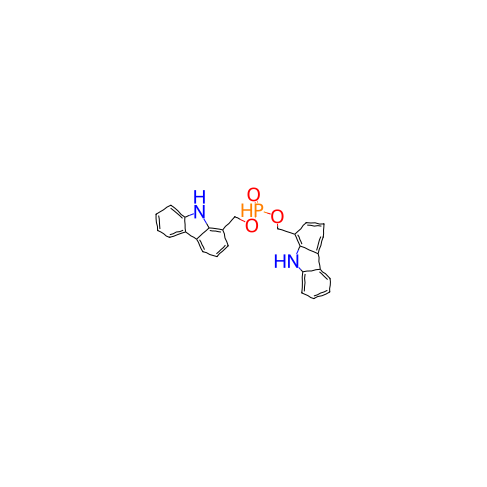 O=[PH](OCc1cccc2c1[nH]c1ccccc12)OCc1cccc2c1[nH]c1ccccc12